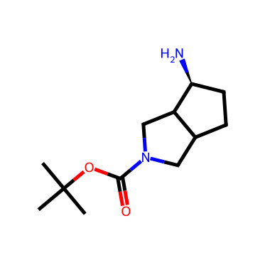 CC(C)(C)OC(=O)N1CC2CC[C@H](N)C2C1